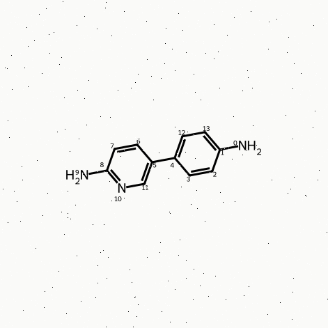 Nc1ccc(-c2ccc(N)nc2)cc1